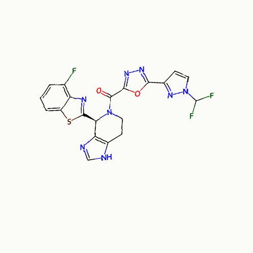 O=C(c1nnc(-c2ccn(C(F)F)n2)o1)N1CCc2[nH]cnc2[C@H]1c1nc2c(F)cccc2s1